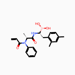 C=CC(=O)N(c1ccccc1)[C@H](C)C(=O)N[C@@H](Cc1ccc(C)cc1C)B(O)O